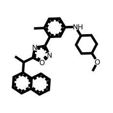 COC1CCC(Nc2ccc(C)c(-c3noc(C(C)c4cccc5ccccc45)n3)c2)CC1